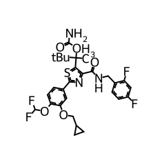 CC(C)(C)C(C)(OC(N)=O)c1sc(-c2ccc(OC(F)F)c(OCC3CC3)c2)nc1C(=O)NCc1ccc(F)cc1F